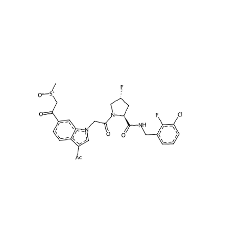 CC(=O)c1cn(CC(=O)N2C[C@H](F)C[C@H]2C(=O)NCc2cccc(Cl)c2F)c2cc(C(=O)C[S+](C)[O-])ccc12